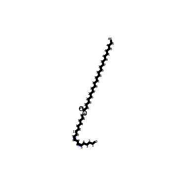 CCCCC/C=C\C/C=C\CCCCCCCCOC(=O)CCCCCCCCCCCCCCCCCCCCCCCCCC